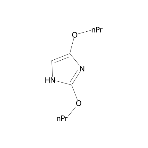 CCCOc1c[nH]c(OCCC)n1